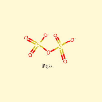 O=S(=O)([O-])OS(=O)(=O)[O-].[Po+2]